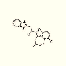 CN1CCc2c(Cl)ccc3oc(C(=O)Cc4nc5ccccc5s4)c(c23)C1